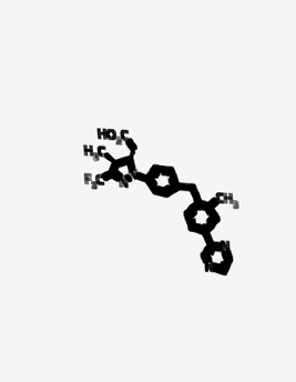 Cc1cc(-c2cnccn2)ccc1Cc1ccc(N2N=C(C(F)(F)F)[C@@H](C)[C@@H]2CC(=O)O)cc1